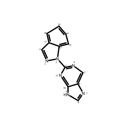 [c]1nn(-c2ncc3nc[nH]c3n2)c2ccccc12